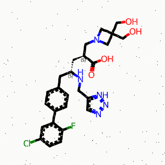 O=C(O)[C@@H](C[C@@H](Cc1ccc(-c2cc(Cl)ccc2F)cc1)NCc1cnn[nH]1)CN1CC(CO)(CO)C1